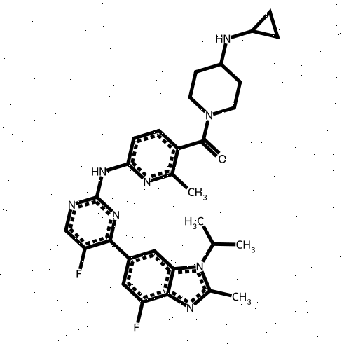 Cc1nc(Nc2ncc(F)c(-c3cc(F)c4nc(C)n(C(C)C)c4c3)n2)ccc1C(=O)N1CCC(NC2CC2)CC1